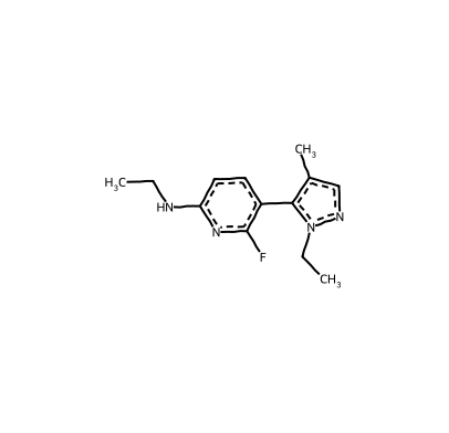 CCNc1ccc(-c2c(C)cnn2CC)c(F)n1